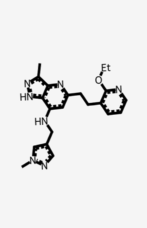 CCOc1ncccc1CCc1cc(NCc2cnn(C)c2)c2[nH]nc(C)c2n1